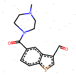 CN1CCN(C(=O)c2ccc3scc(C=O)c3c2)CC1